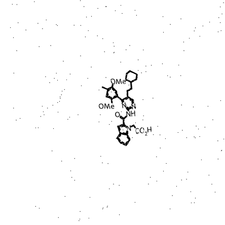 COc1cc(-c2nc(NC(=O)c3cc4ccccc4n3CC(=O)O)ncc2CCC2CCCCC2)c(OC)cc1C